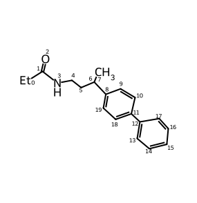 CCC(=O)NCCC(C)c1ccc(-c2ccccc2)cc1